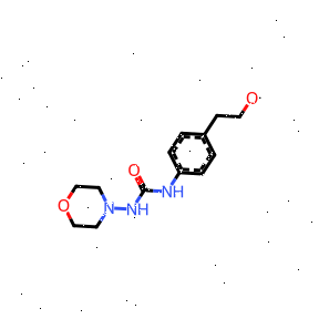 [O]CCc1ccc(NC(=O)NN2CCOCC2)cc1